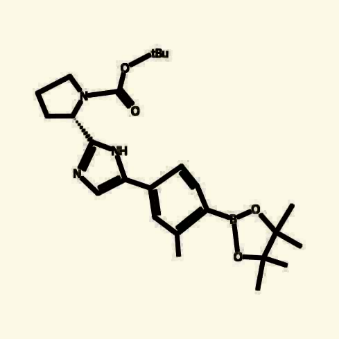 Cc1cc(-c2cnc([C@@H]3CCCN3C(=O)OC(C)(C)C)[nH]2)ccc1B1OC(C)(C)C(C)(C)O1